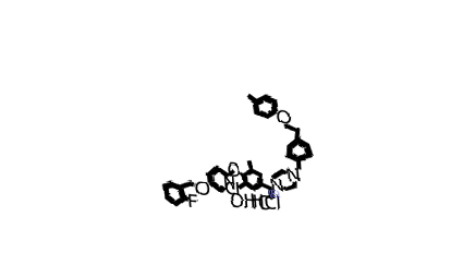 Cc1ccc(OCCc2ccc(CN3CCN(/C(=C/C=O)c4cc(C)c(Oc5ccc(OCc6ccccc6F)cn5)c(Cl)c4)CC3)cc2)cc1.Cl